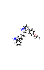 COc1ccc(C2C=CCNC2CCCCCc2c[nH]c3ccccc23)cc1